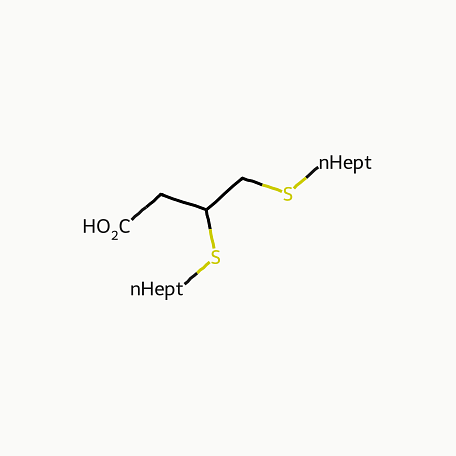 CCCCCCCSCC(CC(=O)O)SCCCCCCC